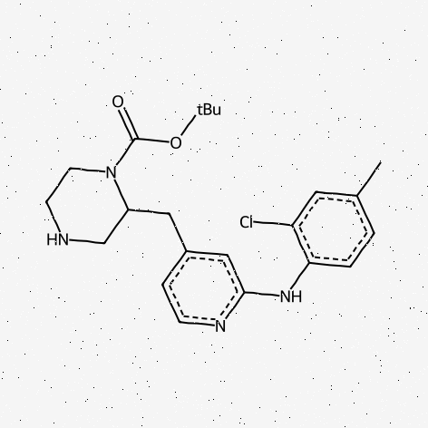 Cc1ccc(Nc2cc(CC3CNCCN3C(=O)OC(C)(C)C)ccn2)c(Cl)c1